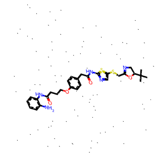 CC(C)(C)C1CN=C(CSc2cnc(NC(=O)Cc3ccc(OCCCC(=O)Nc4ccccc4N)cc3)s2)O1